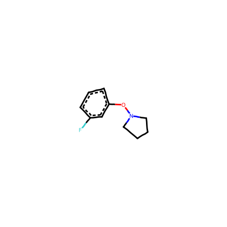 Fc1cccc(ON2CCCC2)c1